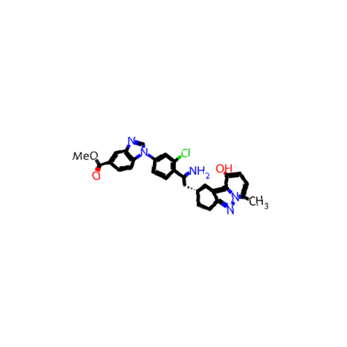 COC(=O)c1ccc2c(c1)ncn2-c1ccc(C(N)C[C@H]2CCc3nn4c(C)ccc(O)c4c3C2)c(Cl)c1